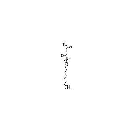 CCCCCCCCOONC(=O)CCC(=O)O